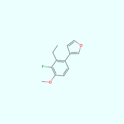 CCc1c(-c2ccoc2)ccc(OC)c1F